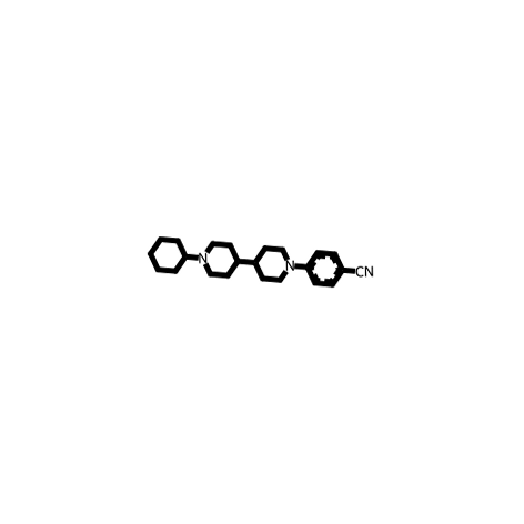 N#Cc1ccc(N2CCC(C3CCN(C4CCCCC4)CC3)CC2)cc1